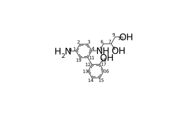 Nc1ccc(NCC(O)CO)c(-c2ccccc2O)c1